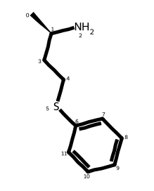 C[C@@H](N)CCSc1ccccc1